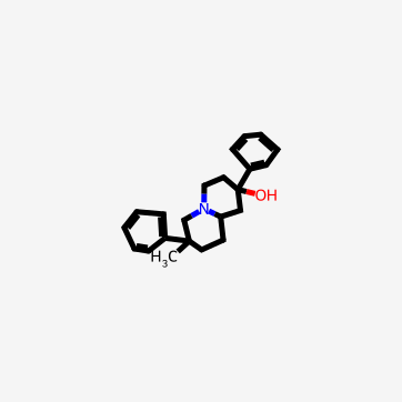 CC1(c2ccccc2)CCC2CC(O)(c3ccccc3)CCN2C1